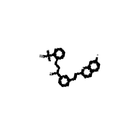 CC(C)(O)c1ccccc1CCC(Cl)c1cccc(/C=C/c2ccc3ccc(Cl)cc3n2)c1